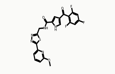 COc1cccc(-c2nnc(CNC(=O)c3cc(C(=O)c4c(F)cc(F)cc4F)c[nH]3)s2)n1